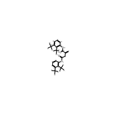 C=C(CC(=O)Oc1cccc(C(C)(C)C)c1C(C)(C)C)C(=O)Oc1cccc(C(C)(C)C)c1C(C)(C)C